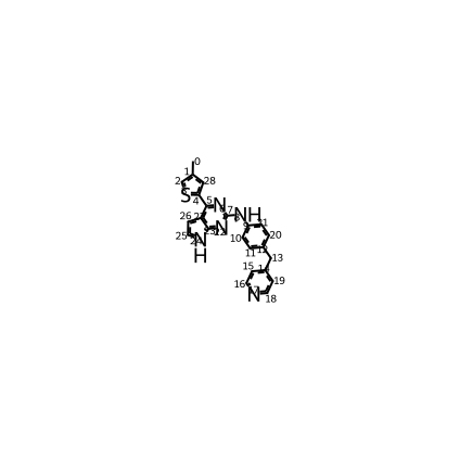 Cc1csc(-c2nc(Nc3ccc(Cc4ccncc4)cc3)nc3[nH]ccc23)c1